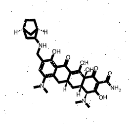 CN(C)c1cc(CNC2C[C@H]3CC[C@@H]2C3)c(O)c2c1C[C@H]1C[C@H]3[C@H](N(C)C)C(O)=C(C(N)=O)C(=O)[C@@]3(O)C(O)=C1C2=O